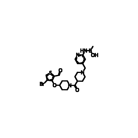 CB(O)Nc1cc(CN2CCC(C(=O)N3CCC(Oc4c(Br)csc4C=O)CC3)CC2)ccn1